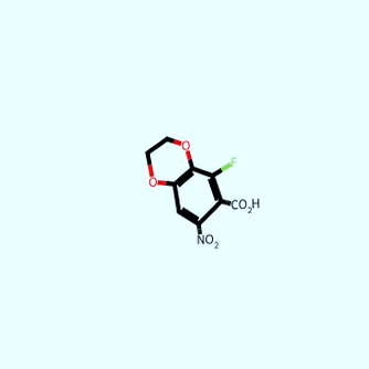 O=C(O)c1c([N+](=O)[O-])cc2c(c1F)OCCO2